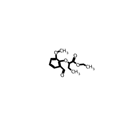 CCOC(=O)C(CC)Oc1c(C=O)cccc1OC